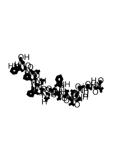 CC(C)C[C@@H](NC(=O)[C@H](C)NC(=O)CNC(=O)[C@@H](NC=O)C(C)C)C(=O)N[C@@H](C)C(=O)N[C@@H](C(=O)N[C@H](C(=O)N[C@@H](C(=O)N[C@@H](Cc1c[nH]c2ccccc12)C(=O)N[C@H](CC(C)C)C(=O)N[C@@H](Cc1c[nH]c2ccccc12)C(=O)N[C@H](CC(C)C)C(=O)N[C@@H](Cc1ccccc1)C(=O)N[C@H](CC(C)C)C(=O)N[C@@H](Cc1c[nH]c2ccccc12)C(=O)NCCO)C(C)C)C(C)C)C(C)C